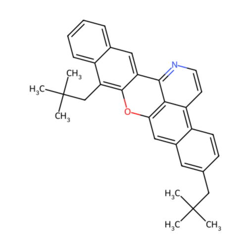 CC(C)(C)Cc1ccc2c(c1)cc1c3c(nccc32)-c2cc3ccccc3c(CC(C)(C)C)c2O1